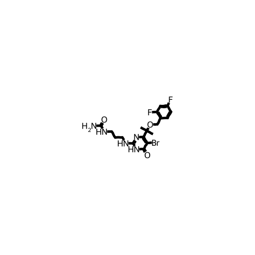 CC(C)(OCc1ccc(F)cc1F)c1nc(NCCCNC(N)=O)[nH]c(=O)c1Br